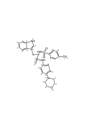 Cc1ccc(S(=O)(=O)NC(Cc2c[nH]c3ccccc23)C(=O)Nc2ccc(N3CCOCC3)nc2)cc1